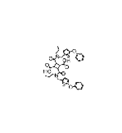 CCCN(Cc1ccc(Oc2ccccc2)s1)C(=O)C1C(C(=O)O)C(C(=O)N(CCC)Cc2ccc(Oc3ccccc3)s2)C1C(=O)O